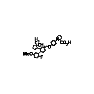 COc1ccc(F)c(-c2ccc(COc3ccc(N4CCCC4C(=O)O)cc3)cc2C2=CCCC2(C)C)c1